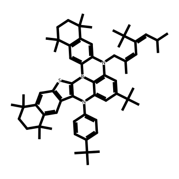 C/C(=C/C(=C\C(C)C)C(C)(C)C)CN1c2cc3c(cc2B2c4sc5cc6c(cc5c4N(c4ccc(C(C)(C)C)cc4)c4cc(C(C)(C)C)cc1c42)C(C)(C)CCC6(C)C)C(C)(C)CCC3(C)C